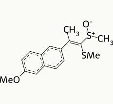 COc1ccc2cc(/C(C)=C(\SC)[S+](C)[O-])ccc2c1